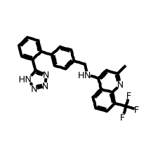 Cc1cc(NCc2ccc(-c3ccccc3-c3nnn[nH]3)cc2)c2cccc(C(F)(F)F)c2n1